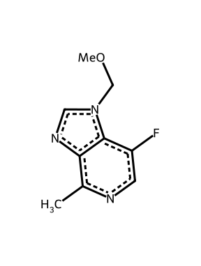 COCn1cnc2c(C)ncc(F)c21